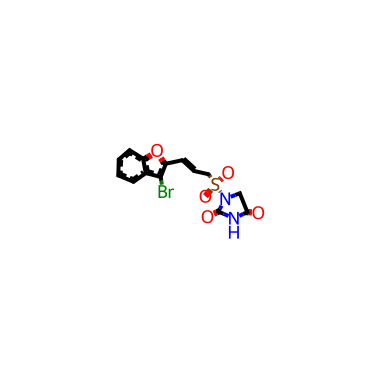 O=C1CN(S(=O)(=O)CC=Cc2oc3ccccc3c2Br)C(=O)N1